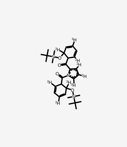 [2H]C1=CC([2H])(O[Si](C)(C)C(C)(C)C)C(C(=O)c2c([2H])c([2H])c([2H])n2C(=O)C2C([2H])=CC([2H])=CC2([2H])O[Si](C)(C)C(C)(C)C)C([2H])=C1